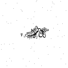 CCCC[N+](C)([O-])CC(CC(F)(F)C(F)(F)C(F)(F)C(F)(F)C(F)(F)C(F)(F)F)OC(C)=O